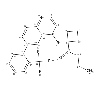 CCOC(=O)C1(Sc2ccnc3ccc(-c4ccccc4C(F)(F)F)cc23)CCC1